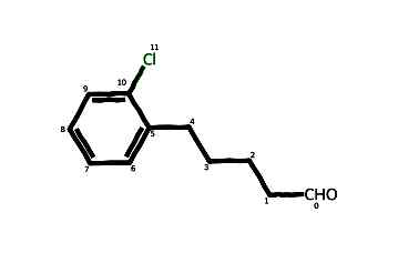 O=CCCCCc1ccccc1Cl